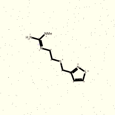 CN/C(N)=N\CCSCc1ccsn1